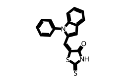 O=C1NC(=S)SC1=Cc1cc2ccccc2n1-c1ccccc1